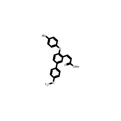 COC(=O)/C=C\c1cc(-c2ccc(OC(F)(F)F)cc2)ccc1Oc1ccc(C(C)(C)C)cc1